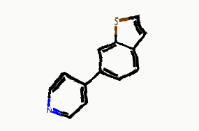 [c]1csc2cc(-c3ccncc3)ccc12